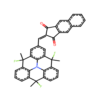 CC1(F)c2cccc3c2N2c4c1cccc4C(C)(F)c1cc(C=C4C(=O)c5cc6ccccc6cc5C4=O)cc(c12)C3(C)F